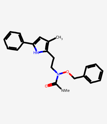 CNC(=O)N(CCc1[nH]c(-c2ccccc2)cc1C)OCc1ccccc1